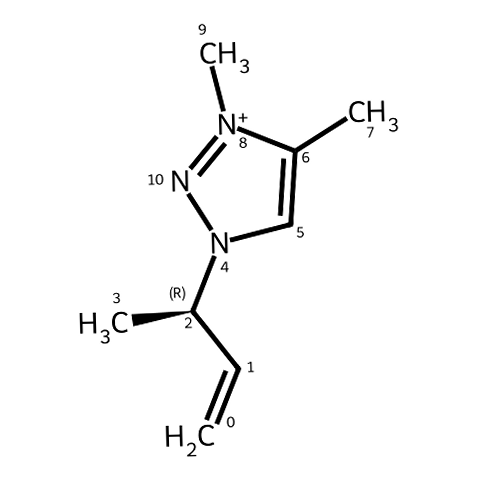 C=C[C@@H](C)n1cc(C)[n+](C)n1